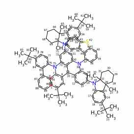 CC(C)(C)c1ccc2c(c1)B1c3ccc(N4c5ccc(C(C)(C)C)cc5C5(C)CCCCC45C)cc3N(c3cccc4sc5ccccc5c34)c3cc(N4c5ccc(C(C)(C)C)cc5C5(C)CCCCC45C)cc(c31)N2c1ccc(C(C)(C)C)cc1-c1ccccc1